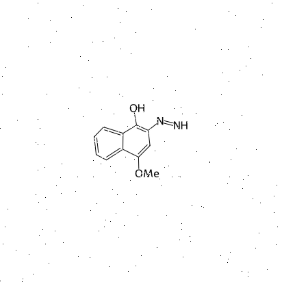 COc1cc(N=N)c(O)c2ccccc12